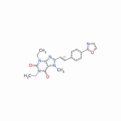 CCn1c(=O)c2c(nc(/C=C/c3ccc(-c4ncco4)cc3)n2C)n(CC)c1=O